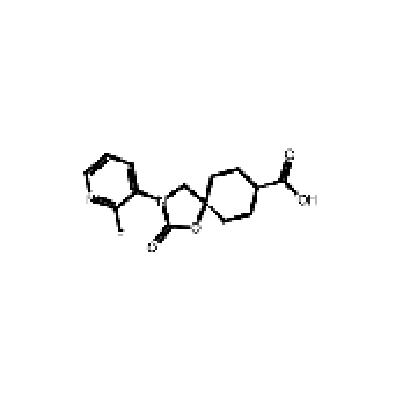 O=C1O[C@]2(CC[C@H](C(=O)O)CC2)CN1c1cccnc1F